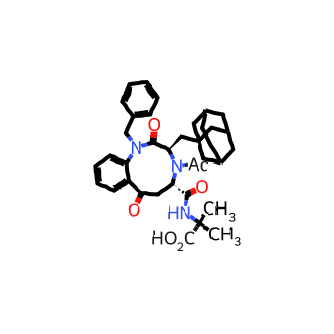 CC(=O)N1[C@H](CC23CC4CC(CC(C4)C2)C3)C(=O)N(Cc2ccccc2)c2ccccc2C(=O)C[C@H]1C(=O)NC(C)(C)C(=O)O